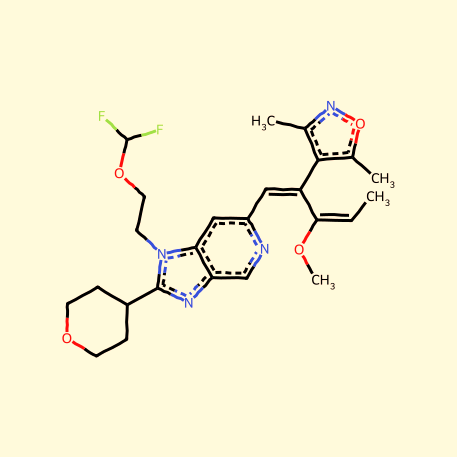 C/C=C(OC)\C(=C/c1cc2c(cn1)nc(C1CCOCC1)n2CCOC(F)F)c1c(C)noc1C